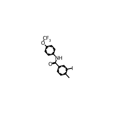 Cc1ccc(C(=O)Nc2ccc(OC(F)(F)F)cc2)cc1I